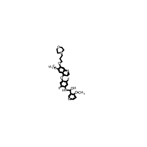 COc1cc2c(Oc3cc(F)c(NC(O)c4cnccc4OC)cc3F)ccnc2cc1OCCCN1CCOCC1